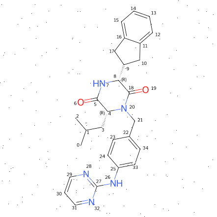 CC(C)C[C@@H]1C(=O)N[C@H](C2Cc3ccccc3C2)C(=O)N1Cc1ccc(Nc2ncccn2)cc1